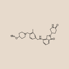 Cc1cc(CNc2cccc3c2CN(C2CCC(=O)NC2)C3=O)ccc1CN1CCC(OC(C)(C)C)CC1